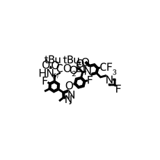 CCOC(=O)C[C@H](NC(=O)OC(C)(C)C)c1cc(-c2c(Oc3ccc(F)c(C(C(=O)OC(C)(C)C)n4cc(CCN5CC(F)C5)c(C(F)(F)F)cc4=O)c3)nn(C)c2C)cc(C)c1F